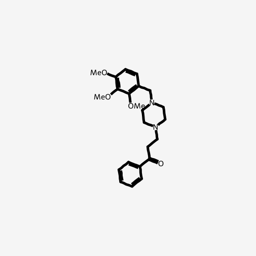 COc1ccc(CN2CCN(CCC(=O)c3ccccc3)CC2)c(OC)c1OC